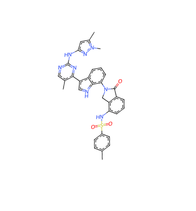 Cc1ccc(S(=O)(=O)Nc2cccc3c2CN(c2cccc4c(-c5nc(Nc6cc(C)n(C)n6)ncc5C)c[nH]c24)C3=O)cc1